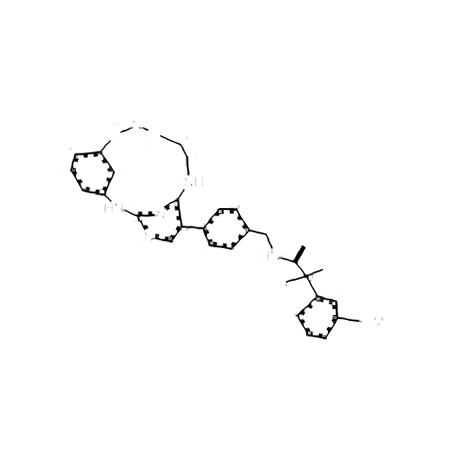 COc1cccc(C(C)(C)C(=O)NCc2ccc(-c3cnc4nc3NCCCNSc3cccc(c3)N4)cc2)c1